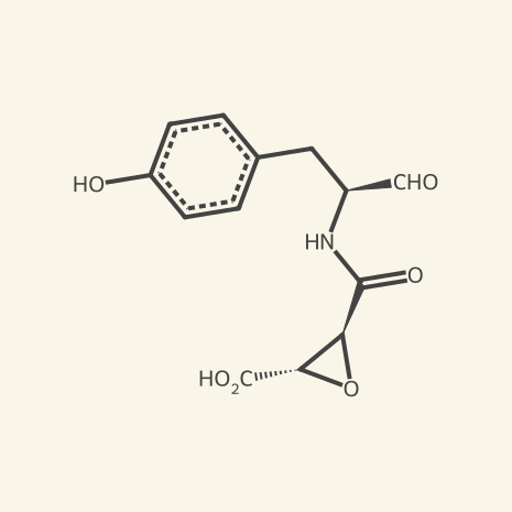 O=C[C@H](Cc1ccc(O)cc1)NC(=O)[C@H]1O[C@@H]1C(=O)O